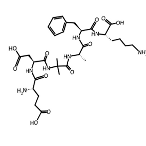 C[C@H](NC(=O)C(C)(C)NC(=O)[C@H](CC(=O)O)NC(=O)[C@@H](N)CCC(=O)O)C(=O)N[C@@H](Cc1ccccc1)C(=O)N[C@@H](CCCCN)C(=O)O